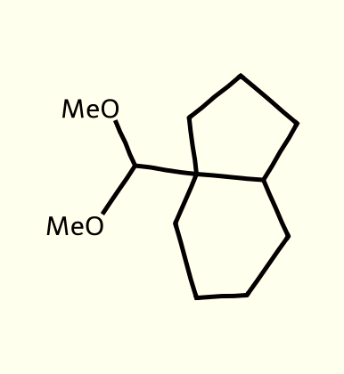 COC(OC)C12CCCCC1CCC2